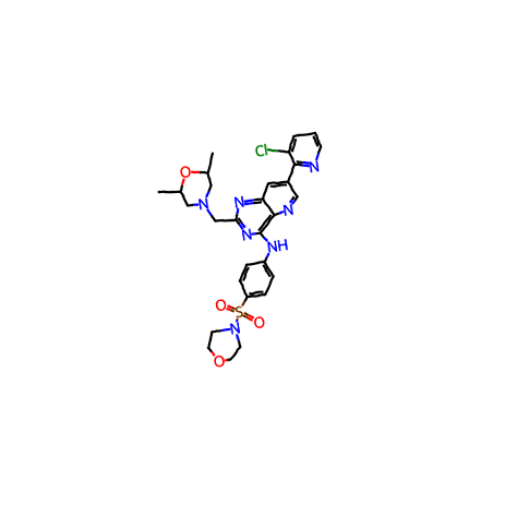 CC1CN(Cc2nc(Nc3ccc(S(=O)(=O)N4CCOCC4)cc3)c3ncc(-c4ncccc4Cl)cc3n2)CC(C)O1